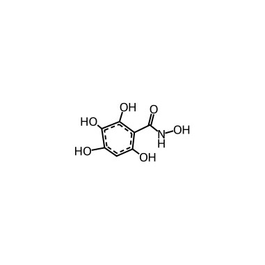 O=C(NO)c1c(O)cc(O)c(O)c1O